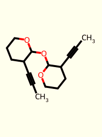 CC#CC1CCCOC1OC1OCCCC1C#CC